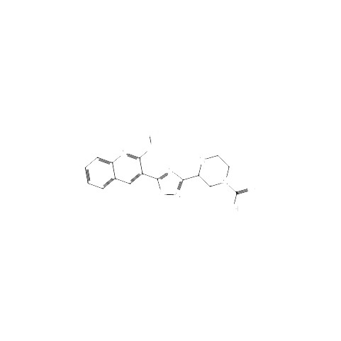 COc1nc2ccccc2cc1-c1nc(C2CN(C(=O)O)CCN2)no1